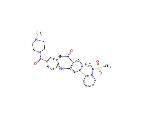 CN1CCN(C(=O)c2ccc3c(c2)NC(=O)c2ccc(-c4ccccc4N(C)S(C)(=O)=O)cc2N3)CC1